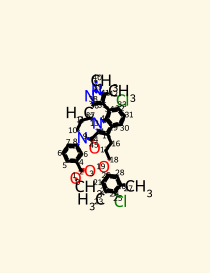 COC(=O)c1cccc(N2CCCn3c(c(CCCOc4cc(C)c(Cl)c(C)c4)c4ccc(Cl)c(-c5c(C)nn(C)c5C)c43)C2=O)c1